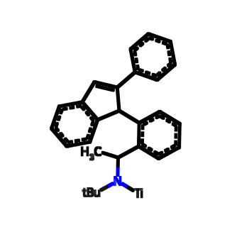 CC(c1ccccc1C1C(c2ccccc2)=Cc2ccccc21)[N]([Ti])C(C)(C)C